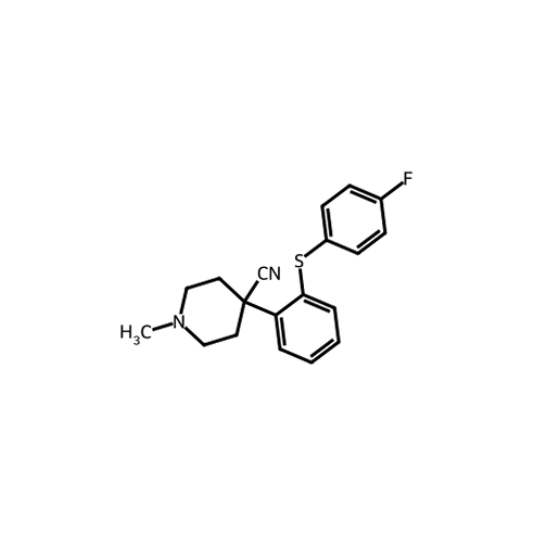 CN1CCC(C#N)(c2ccccc2Sc2ccc(F)cc2)CC1